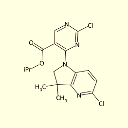 CC(C)OC(=O)c1cnc(Cl)nc1N1CC(C)(C)c2nc(Cl)ccc21